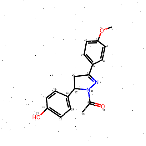 COc1ccc(C2=NN(C(C)=O)C(c3ccc(O)cc3)C2)cc1